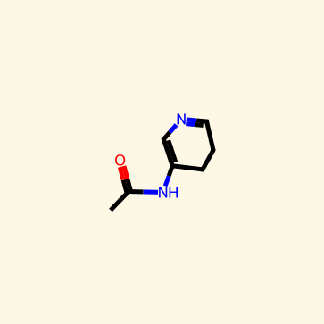 CC(=O)NC1=CN=CCC1